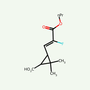 CCCOC(=O)/C(F)=C/C1C(C(=O)O)C1(C)C